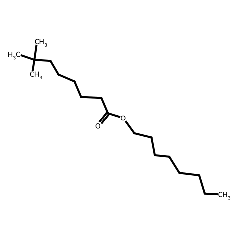 CCCCCCCCOC(=O)CCCCCC(C)(C)C